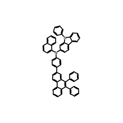 c1ccc(-c2c(-c3ccccc3)c3cc(-c4ccc(N(c5ccc6c7ccccc7n(-c7ccccc7)c6c5)c5cccc6ccccc56)cc4)ccc3c3ccccc23)cc1